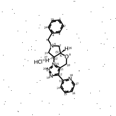 Cl.c1ccc(CN2C[C@@H]3OCc4c(-c5ccccn5)nnn4[C@H]3C2)cc1